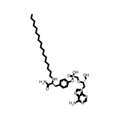 CCCCCCCCCCCCCCCCCCN[C@@H](Cc1ccc(OP(=O)(O)CO[C@H](CO)Cn2cnc3c(N)ncnc32)cc1)C(N)=O